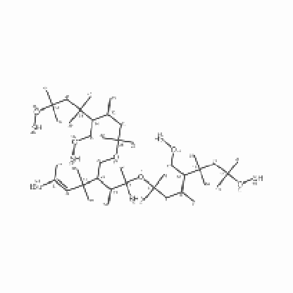 BC(C)(OC(C)(C)CC(C)C(COS)C(C)(C)CC(C)(C)OS)C(C)C(COC(C)(C)CC(C)C(COS)C(C)(C)CC(C)(C)OS)C(C)(C)/C=C(\C)C(C)(C)C